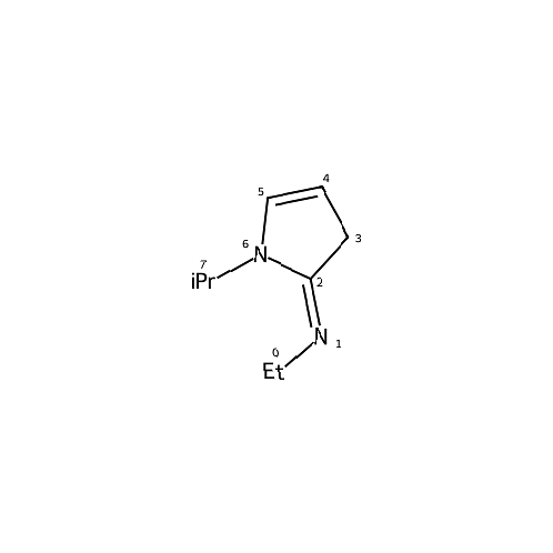 CC/N=C1/CC=CN1C(C)C